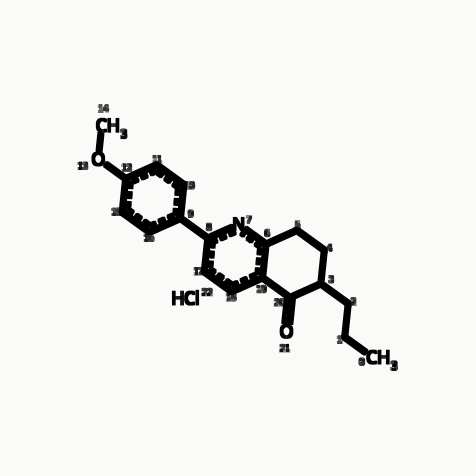 CCCC1CCc2nc(-c3ccc(OC)cc3)ccc2C1=O.Cl